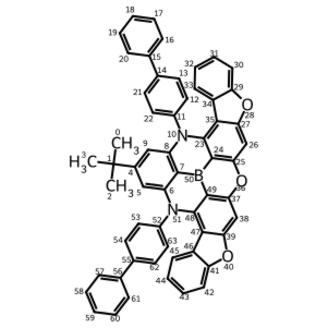 CC(C)(C)c1cc2c3c(c1)N(c1ccc(-c4ccccc4)cc1)c1c4c(cc5oc6ccccc6c15)Oc1cc5oc6ccccc6c5c(c1B34)N2c1ccc(-c2ccccc2)cc1